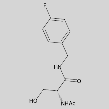 CC(=O)N[C@H](CO)C(=O)NCc1ccc(F)cc1